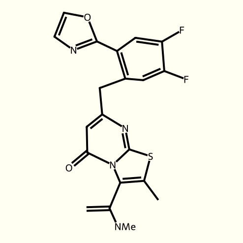 C=C(NC)c1c(C)sc2nc(Cc3cc(F)c(F)cc3-c3ncco3)cc(=O)n12